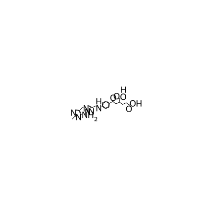 Cc1ncc(Cn2cc(CNc3ccc(C(=O)CC(CCC(=O)O)C(=O)O)cc3)nn2)c(N)n1